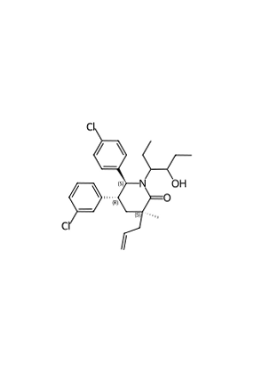 C=CC[C@@]1(C)C[C@H](c2cccc(Cl)c2)[C@@H](c2ccc(Cl)cc2)N(C(CC)C(O)CC)C1=O